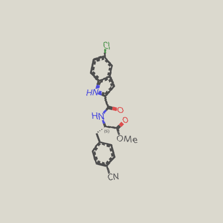 COC(=O)[C@H](Cc1ccc(C#N)cc1)NC(=O)c1cc2cc(Cl)ccc2[nH]1